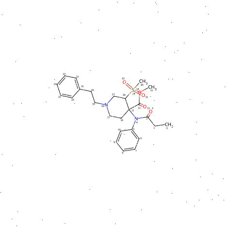 CCC(=O)N(c1ccccc1)C1(C(=O)OC)CCN(CCc2ccccc2)CC1S(C)(=O)=O